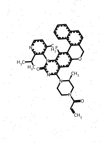 C=CC(=O)N1CCN(c2nc(=O)n(-c3c(C)ccnc3C(C)C)c3c(F)c4c(cc23)OCc2ccc3ccccc3c2-4)[C@@H](C)C1